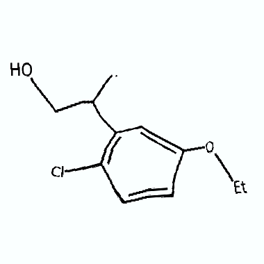 [CH2]C(CO)c1cc(OCC)ccc1Cl